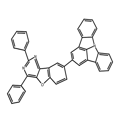 c1ccc(-c2nc(-c3ccccc3)c3oc4ccc(-c5cc6c7ccccc7n7c8ccccc8c(c5)c67)cc4c3n2)cc1